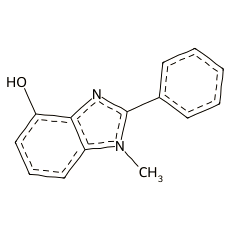 Cn1c(-c2ccccc2)nc2c(O)cccc21